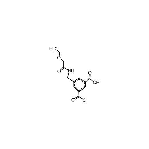 CCOCC(=O)NCc1cc(C(=O)O)cc(C(=O)Cl)c1